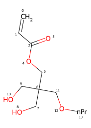 C=CC(=O)OCC(CO)(CO)COCCC